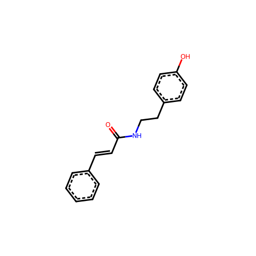 O=C(C=Cc1ccccc1)NCCc1ccc(O)cc1